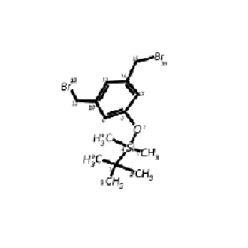 CC(C)(C)[Si](C)(C)Oc1cc(CBr)cc(CBr)c1